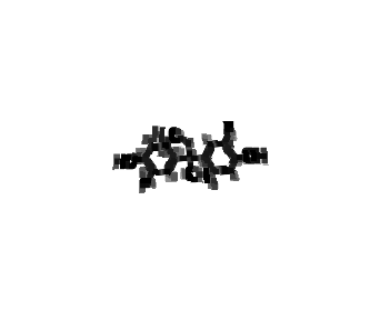 CCC(C)(c1ccc(O)c(F)c1)c1ccc(O)c(F)c1